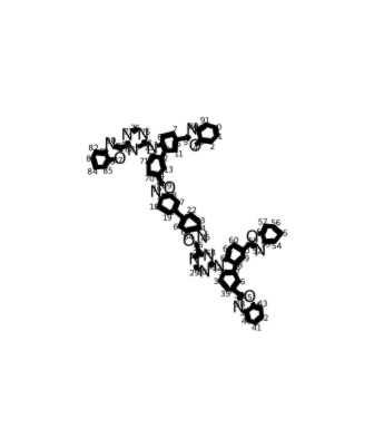 c1ccc2oc(-c3ccc4c(c3)c3cc(-c5nc6ccc(-c7ccc8nc(-c9ncnc(-n%10c%11ccc(-c%12nc%13ccccc%13o%12)cc%11c%11cc(-c%12nc%13ccccc%13o%12)ccc%11%10)n9)oc8c7)cc6o5)ccc3n4-c3ncnc(-c4nc5ccccc5o4)n3)nc2c1